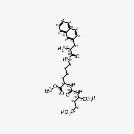 CC(C)(C)OC(=O)C(CCCCNC(=O)C(N)Cc1ccc2ccccc2c1)NC(=O)NC(CCC(=O)O)C(=O)O